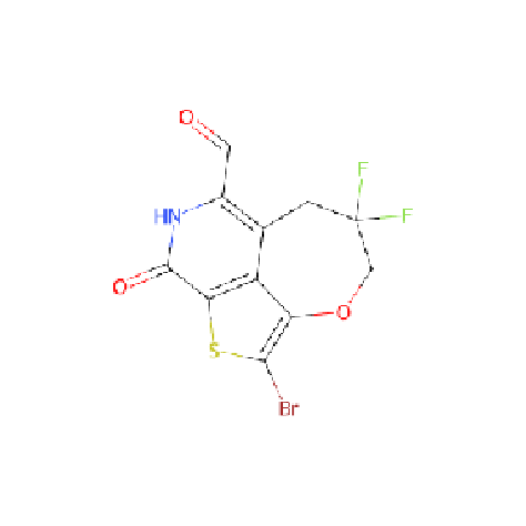 O=Cc1[nH]c(=O)c2sc(Br)c3c2c1CC(F)(F)CO3